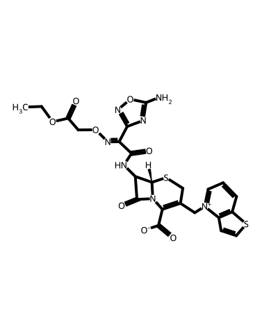 CCOC(=O)CON=C(C(=O)NC1C(=O)N2C(C(=O)[O-])=C(C[n+]3cccc4sccc43)CS[C@@H]12)c1noc(N)n1